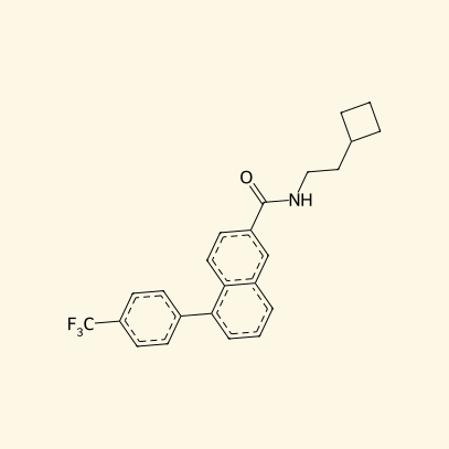 O=C(NCCC1CCC1)c1ccc2c(-c3ccc(C(F)(F)F)cc3)cccc2c1